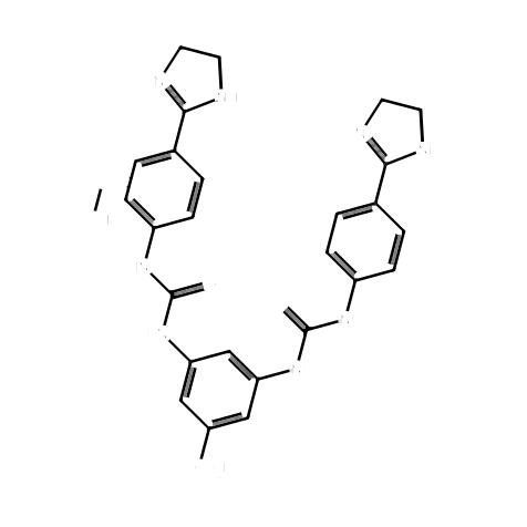 O=C(Nc1ccc(C2=NCCN2)cc1)Nc1cc(NC(=O)Nc2ccc(C3=NCCN3)cc2)cc(C(=O)O)c1.O=CO